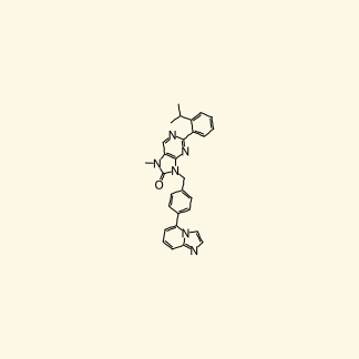 CC(C)c1ccccc1-c1ncc2c(n1)n(Cc1ccc(-c3cccc4nccn34)cc1)c(=O)n2C